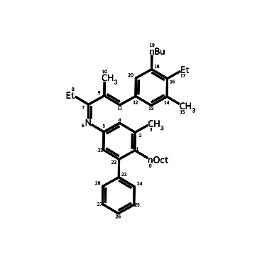 CCCCCCCCc1c(C)cc(N=C(CC)C(C)=Cc2cc(C)c(CC)c(CCCC)c2)cc1-c1ccccc1